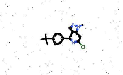 Cn1ncc2c(-c3ccc(C(C)(C)C)cc3)nc(Cl)cc21